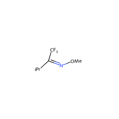 CON=C(C(C)C)C(F)(F)F